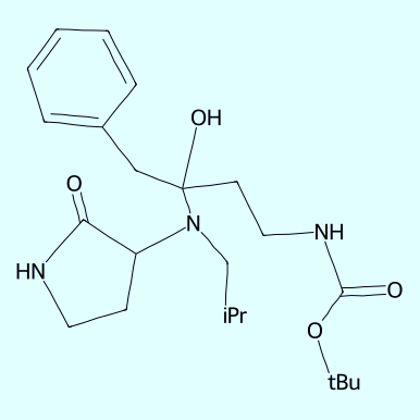 CC(C)CN(C1CCNC1=O)C(O)(CCNC(=O)OC(C)(C)C)Cc1ccccc1